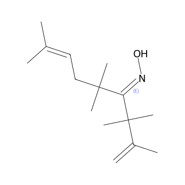 C=C(C)C(C)(C)/C(=N/O)C(C)(C)CC=C(C)C